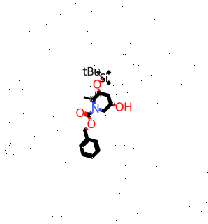 C[C@H]1[C@@H](O[Si](C)(C)C(C)(C)C)C[C@@H](O)CN1C(=O)OCc1ccccc1